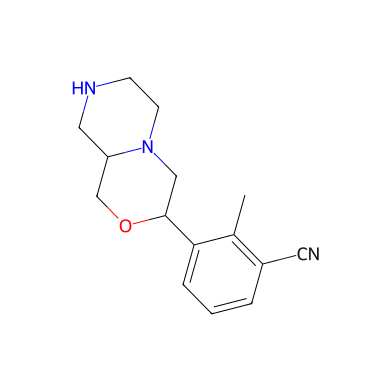 Cc1c(C#N)cccc1C1CN2CCNCC2CO1